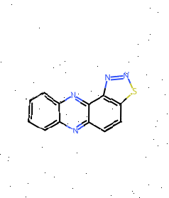 c1ccc2nc3c(ccc4snnc43)nc2c1